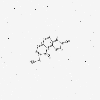 NCC1=CC=c2ccc3c(c2C1=O)C=CC(=O)N=3